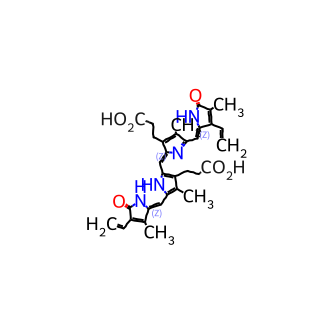 C=CC1=C(C)/C(=C/c2[nH]c(/C=C3N=C(/C=C4\NC(=O)C(C)=C4C=C)C(C)=C\3CCC(=O)O)c(CCC(=O)O)c2C)NC1=O